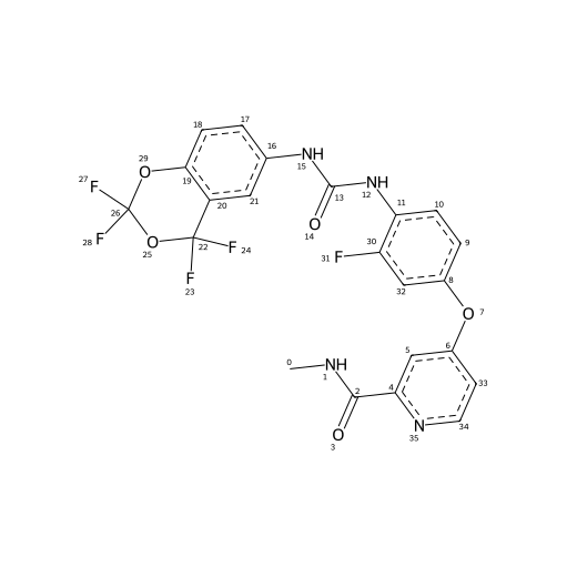 CNC(=O)c1cc(Oc2ccc(NC(=O)Nc3ccc4c(c3)C(F)(F)OC(F)(F)O4)c(F)c2)ccn1